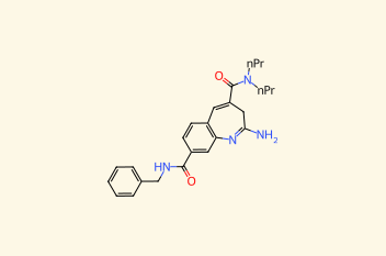 CCCN(CCC)C(=O)C1=Cc2ccc(C(=O)NCc3ccccc3)cc2N=C(N)C1